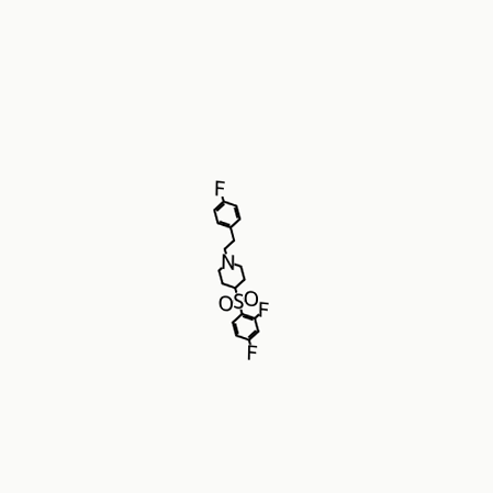 O=S(=O)(c1ccc(F)cc1F)C1CCN(CCc2ccc(F)cc2)CC1